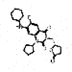 O=C1CC[C@@H](Cn2c(=O)c3cc(F)c(NC4CCCCC4)cc3n(C3CCCC3)c2=O)O1